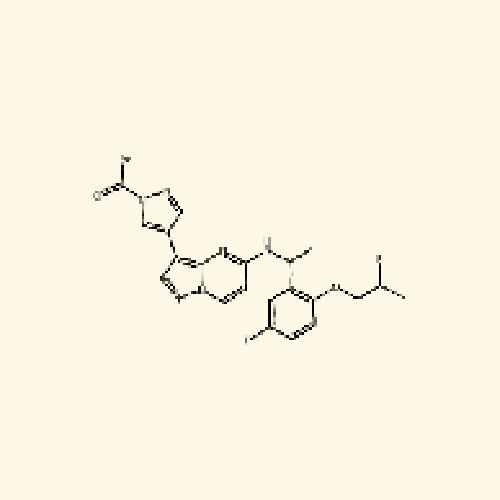 CC(=O)C(=O)n1cc(-c2cnn3ccc(NC(C)c4cc(F)ccc4OCC(F)F)nc23)cn1